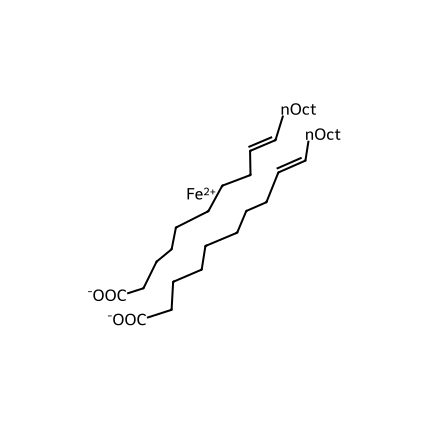 CCCCCCCCC=CCCCCCCCC(=O)[O-].CCCCCCCCC=CCCCCCCCC(=O)[O-].[Fe+2]